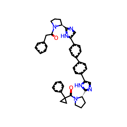 O=C(Cc1ccccc1)N1CCC[C@H]1c1ncc(-c2ccc(-c3ccc(-c4cnc([C@@H]5CCCN5C(=O)C5(c6ccccc6)CC5)[nH]4)cc3)cc2)[nH]1